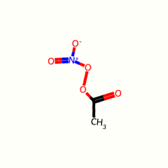 CC(=O)OO[N+](=O)[O-]